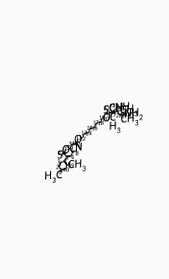 Cc1ccc(-c2cc3cnc(OCCCCCCCCOC(=S)C(C)(C)C(N)CC(C)(C)N)cc3oc2=S)c(C)c1